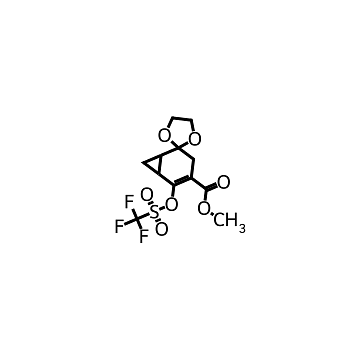 COC(=O)C1=C(OS(=O)(=O)C(F)(F)F)C2CC2C2(C1)OCCO2